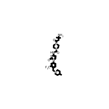 CC1CCN(Cc2ccc(-n3ccc(NC(=O)N4CCN(C(=O)CC(C)(C)N)CC4)nc3=O)cc2C(F)(F)F)CC1